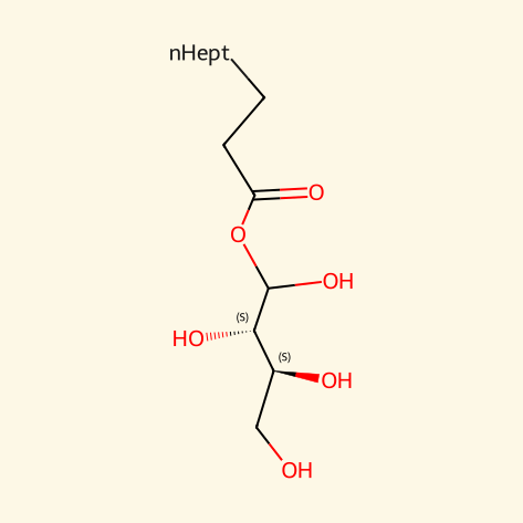 CCCCCCCCCC(=O)OC(O)[C@@H](O)[C@@H](O)CO